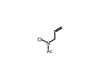 C=CCN(Cl)C(C)=O